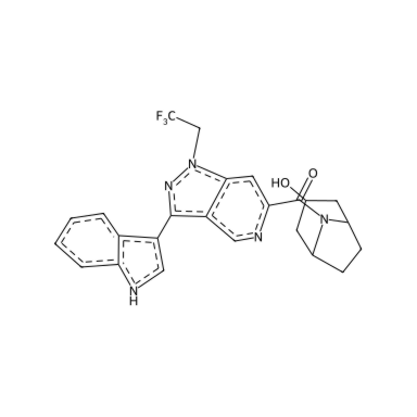 O=C(c1cc2c(cn1)c(-c1c[nH]c3ccccc13)nn2CC(F)(F)F)N1C2CCC1CC(O)C2